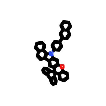 c1ccc2c(c1)Oc1cc3c(cc1C21c2ccccc2-c2ccccc21)c1ccc2ccccc2c1n3-c1ccc(-c2ccc3ccccc3c2)cc1